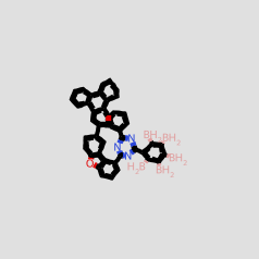 Bc1c(B)c(B)c(-c2nc(-c3ccccc3)nc(-c3cccc4oc5ccc(-c6ccc7c8ccccc8c8ccccc8c7c6)cc5c34)n2)c(B)c1B